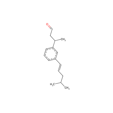 CC(C)C/C=C/c1cccc(C(C)CC=O)c1